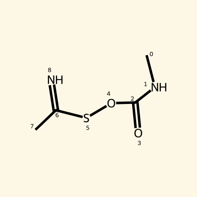 CNC(=O)OSC(C)=N